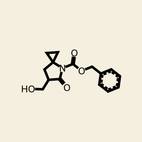 O=C(OCc1ccccc1)N1C(=O)C(CO)CC12CC2